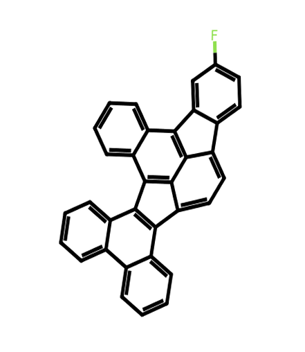 Fc1ccc2c(c1)-c1c3ccccc3c3c4c(ccc-2c14)-c1c-3c2ccccc2c2ccccc12